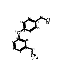 FC(F)(F)Sc1cccc(Oc2ccc(CCl)cc2)c1